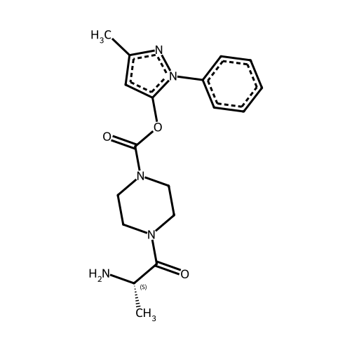 Cc1cc(OC(=O)N2CCN(C(=O)[C@H](C)N)CC2)n(-c2ccccc2)n1